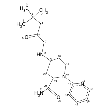 CC(C)(C)CC(=O)CNC1CCN(c2cc[c]cn2)C(C(N)=O)C1